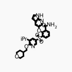 CC(C)c1cc(S(=O)(=O)c2cccc(C(N)=O)c2Oc2cnc3[nH]ccc3c2)cnc1OCC1CCOCC1